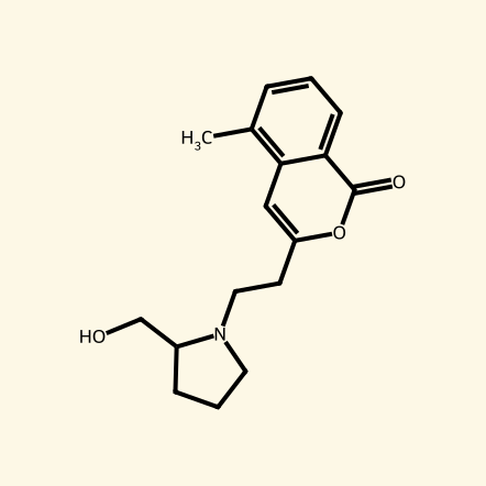 Cc1cccc2c(=O)oc(CCN3CCCC3CO)cc12